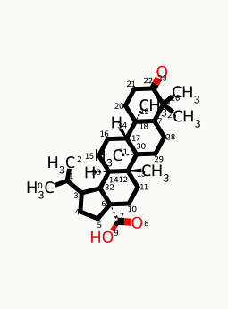 CC(C)C1CC[C@]2(C(=O)O)CC[C@]3(C)[C@H](CC[C@@H]4[C@@]5(C)CCC(=O)C(C)(C)C5CC[C@]43C)C12